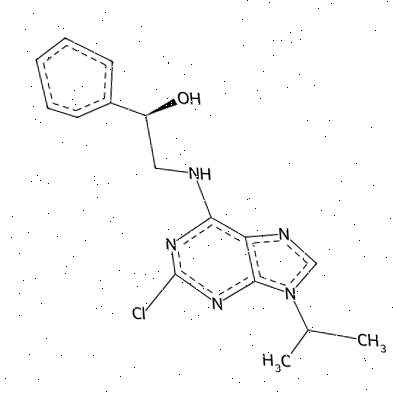 CC(C)n1cnc2c(NC[C@H](O)c3ccccc3)nc(Cl)nc21